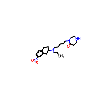 CCCN(CCCCCN1CCNCCC1=O)C1CCc2ccc([N+](=O)[O-])cc2C1